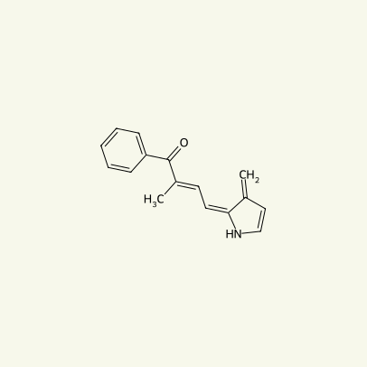 C=c1cc[nH]/c1=C/C=C(\C)C(=O)c1ccccc1